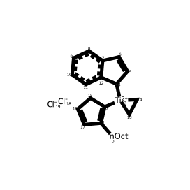 CCCCCCCCC1=[C]([Ti+2]2([CH]3C=Cc4ccccc43)[CH2][CH2]2)CC=C1.[Cl-].[Cl-]